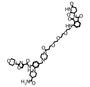 NC(=O)C1CCN(c2cc(CN3CCN(C(=O)CCOCCOCCOCCNc4cccc5c4C(=O)N(C4CCC(=O)NC4=O)C5=O)CC3)ccc2NC(=O)c2coc(N3CCOCC3)n2)CC1